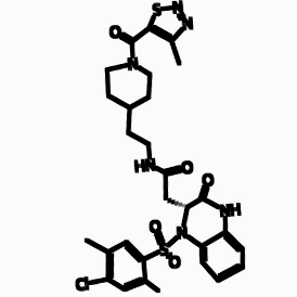 Cc1cc(S(=O)(=O)N2c3ccccc3NC(=O)[C@H]2CC(=O)NCCC2CCN(C(=O)c3snnc3C)CC2)c(C)cc1Cl